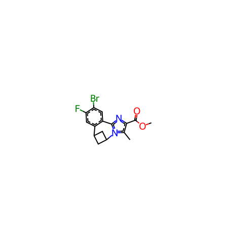 COC(=O)c1nc2n(c1C)C1CC(C1)c1cc(F)c(Br)cc1-2